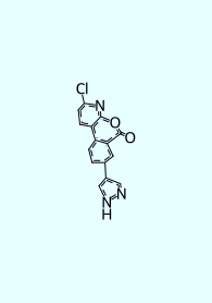 O=c1oc2nc(Cl)ccc2c2ccc(-c3cn[nH]c3)cc12